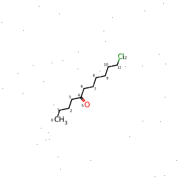 CCCCC(=O)CCCCCCCl